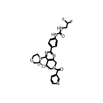 C[C@H]1COCCN1c1nc(-c2ccc(NC(=O)NCC(F)F)cc2)nc2c1CCN(C(=O)c1cccnc1)C2